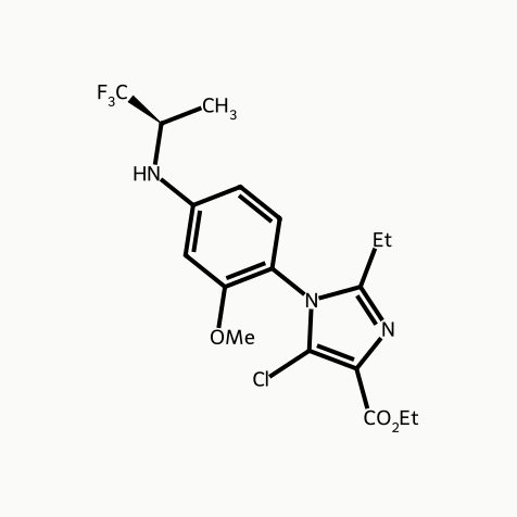 CCOC(=O)c1nc(CC)n(-c2ccc(N[C@H](C)C(F)(F)F)cc2OC)c1Cl